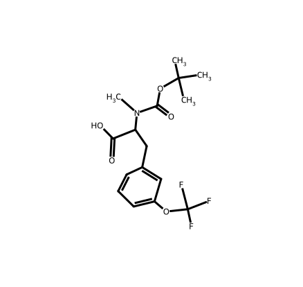 CN(C(=O)OC(C)(C)C)C(Cc1cccc(OC(F)(F)F)c1)C(=O)O